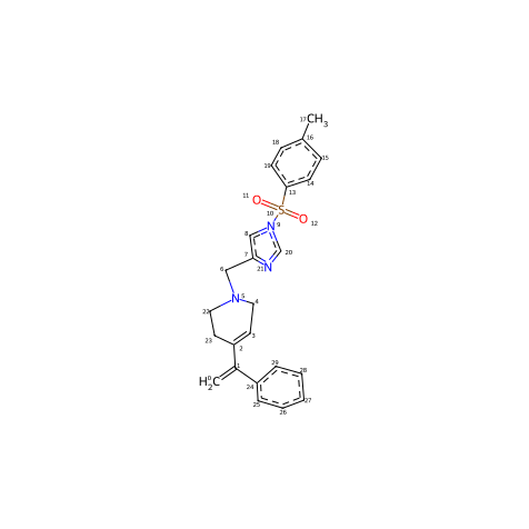 C=C(C1=CCN(Cc2cn(S(=O)(=O)c3ccc(C)cc3)cn2)CC1)c1ccccc1